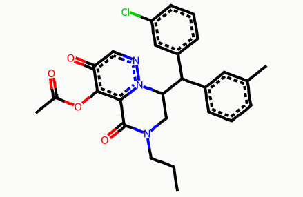 CCCN1CC(C(c2cccc(C)c2)c2cccc(Cl)c2)n2ncc(=O)c(OC(C)=O)c2C1=O